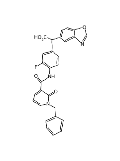 O=C(Nc1ccc(C(C(=O)O)c2ccc3ocnc3c2)cc1F)c1cccn(Cc2ccccc2)c1=O